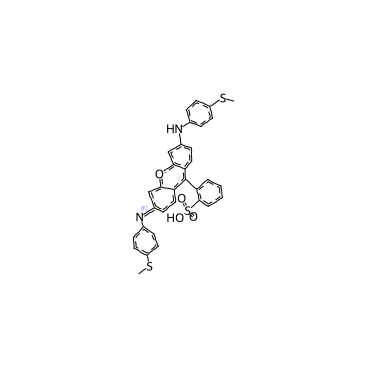 CSc1ccc(/N=c2\ccc3c(-c4ccccc4S(=O)(=O)O)c4ccc(Nc5ccc(SC)cc5)cc4oc-3c2)cc1